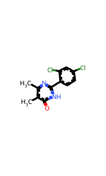 Cc1nc(-c2ccc(Cl)cc2Cl)[nH]c(=O)c1C